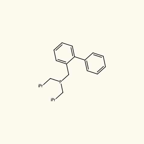 CC(C)CP(Cc1ccccc1-c1ccccc1)CC(C)C